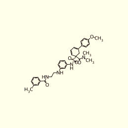 COc1ccc(C2=CC=CC(C(=O)N(C)C)(S(=O)(=O)Nc3cccc(NCCNC(=O)c4cccc(C)c4)c3)C2)cc1